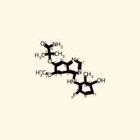 COc1cc2c(Nc3c(F)ccc(O)c3C)ncnc2cc1OC(C)(C)C(N)=O